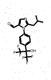 CC(C)Cc1ncc(C=O)n1-c1ccc(C(O)(C(F)(F)F)C(F)(F)F)cc1